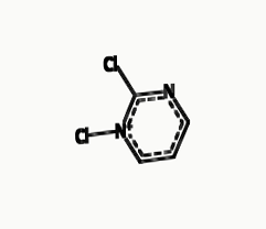 Clc1nccc[n+]1Cl